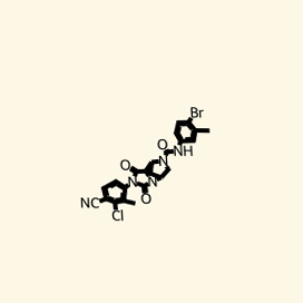 Cc1cc(NC(=O)N2CC3CC2C2C(=O)N(c4ccc(C#N)c(Cl)c4C)C(=O)N32)ccc1Br